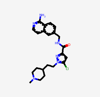 CN1CCC(CCn2nc(C(=O)NCc3ccc4c(N)nccc4c3)cc2Cl)CC1